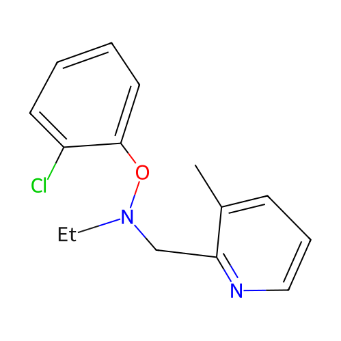 CCN(Cc1ncccc1C)Oc1ccccc1Cl